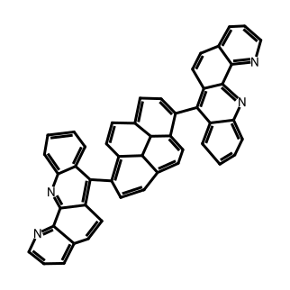 C1=CC2=C(c3c4ccccc4nc4c3ccc3cccnc34)C=CC3=CC=C4C(c5c6ccccc6nc6c5ccc5cccnc56)=CC=C1C4C32